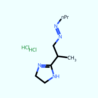 CCCN=NCC(C)C1=NCCN1.Cl.Cl